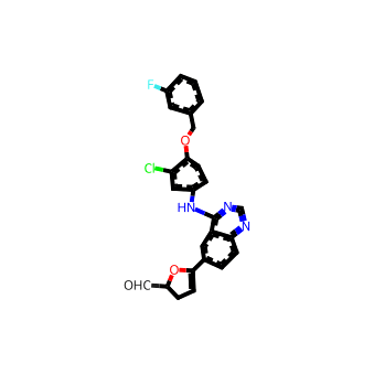 O=CC1CC=C(c2ccc3ncnc(Nc4ccc(OCc5cccc(F)c5)c(Cl)c4)c3c2)O1